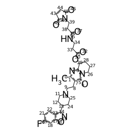 Cc1nc2n(c(=O)c1CCN1CCC(c3noc4cc(F)ccc34)CC1)CCCC2OC(=O)CCNC(=O)CCN1C(=O)C=CC1=O